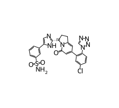 NS(=O)(=O)c1cccc(-c2cnc([C@@H]3CCc4cc(-c5cc(Cl)ccc5-n5cnnn5)cc(=O)n43)[nH]2)c1